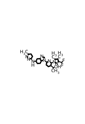 Cc1ccc(Nc2ccc3c(c2)ncn3-c2ccc(C(C)O)c(-n3nc(C(F)F)c(C)c3C)n2)nn1